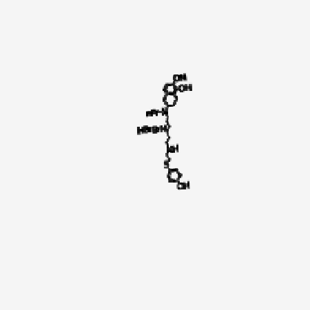 Br.Br.CCCN(CCCCCCNCCSc1ccc(O)cc1)C1CCc2c(ccc(O)c2O)C1